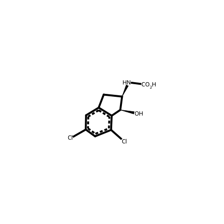 O=C(O)N[C@@H]1Cc2cc(Cl)cc(Cl)c2[C@@H]1O